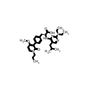 CCCn1ccc(OC)c(-c2ccc(C[C@H](Nc3nc(N(CC)CC)ncc3CC(C)C)C(=O)O)cc2)c1=O